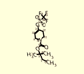 CCC(C)(C)OC(=O)N1CC=C(OS(=O)(=O)C(F)(F)F)CC1